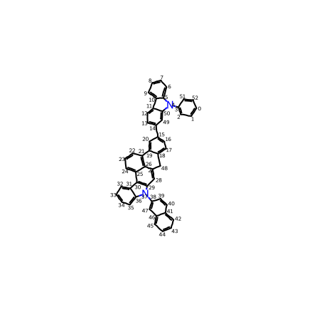 c1ccc(-n2c3ccccc3c3ccc(-c4ccc5c(c4)-c4cccc6c4c(cc4c6c6ccccc6n4-c4ccc6ccccc6c4)C5)cc32)cc1